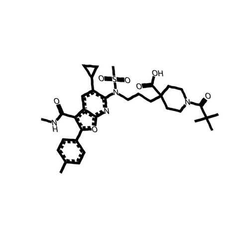 CNC(=O)c1c(-c2ccc(C)cc2)oc2nc(N(CCCC3(C(=O)O)CCN(C(=O)C(C)(C)C)CC3)S(C)(=O)=O)c(C3CC3)cc12